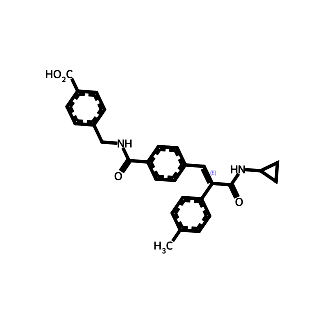 Cc1ccc(/C(=C\c2ccc(C(=O)NCc3ccc(C(=O)O)cc3)cc2)C(=O)NC2CC2)cc1